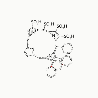 O=S(=O)(O)C1=C(S(=O)(=O)O)c2nc1c(S(=O)(=O)O)c1[nH]c(cc3nc(cc4c(-c5ccccc5)c(-c5ccccc5)c(c2-c2ccccc2)n4-c2ccccc2)C=C3)cc1S(=O)(=O)O